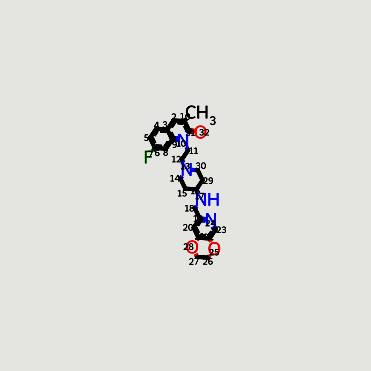 Cc1cc2ccc(F)cc2n(CCN2CCC(NCc3cc4c(cn3)OCCO4)CC2)c1=O